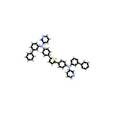 c1ccc(-c2cccc(N(c3ccc(-c4ccc(-c5ccc(N(c6cccnc6)c6cccc(-c7ccccc7)c6)cc5)s4)cc3)c3cccnc3)c2)cc1